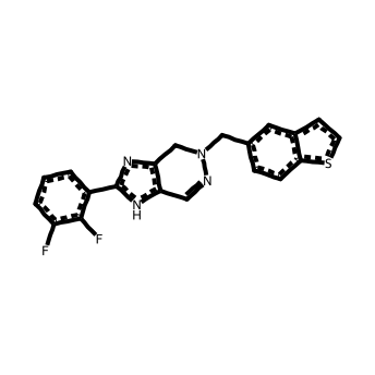 Fc1cccc(-c2nc3c([nH]2)C=NN(Cc2ccc4sccc4c2)C3)c1F